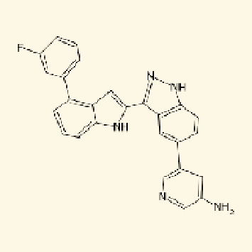 Nc1cncc(-c2ccc3[nH]nc(-c4cc5c(-c6cccc(F)c6)cccc5[nH]4)c3c2)c1